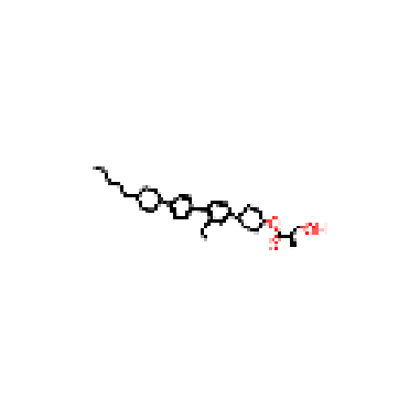 C=C(CO)C(=O)OC1CCC(c2ccc(-c3ccc(C4CCC(CCCCC)CC4)cc3)c(CC)c2)CC1